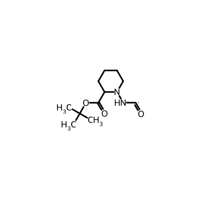 CC(C)(C)OC(=O)C1CCCCN1N[C]=O